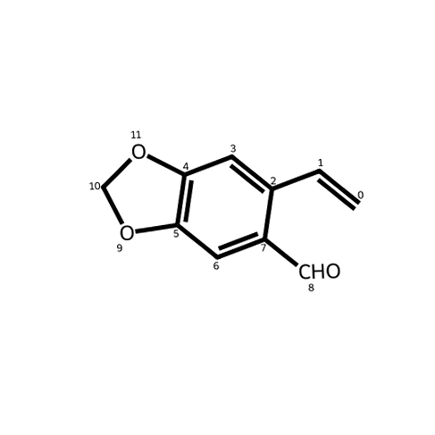 C=Cc1cc2c(cc1C=O)OCO2